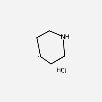 Cl.[CH]1CCNCC1